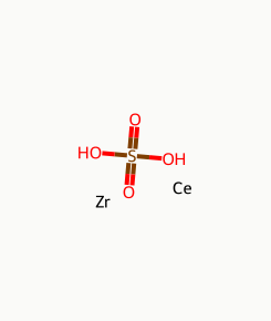 O=S(=O)(O)O.[Ce].[Zr]